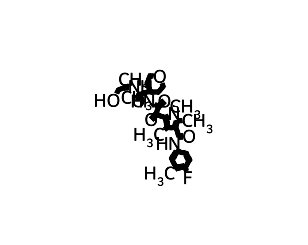 Cc1cc(NC(=O)c2c(C)c(C(=O)C(=O)NC3(C(=O)NC(C)(C)CO)CCOCC3)n(C)c2C)ccc1F